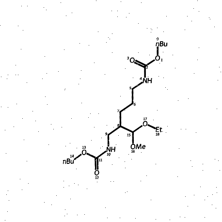 CCCCOC(=O)NCCCC(CNC(=O)OCCCC)C(OC)OCC